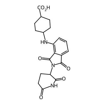 O=C1CCC(N2C(=O)c3cccc(NC4CCC(C(=O)O)CC4)c3C2=O)C(=O)N1